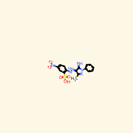 CC1=NN(c2ccccc2)C(=N)/C1=N/Nc1ccc([N+](=O)[O-])cc1S(=O)(=O)O